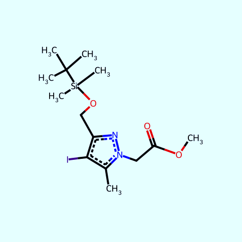 COC(=O)Cn1nc(CO[Si](C)(C)C(C)(C)C)c(I)c1C